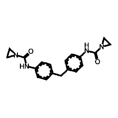 O=C(Nc1ccc(Cc2ccc(NC(=O)N3CC3)cc2)cc1)N1CC1